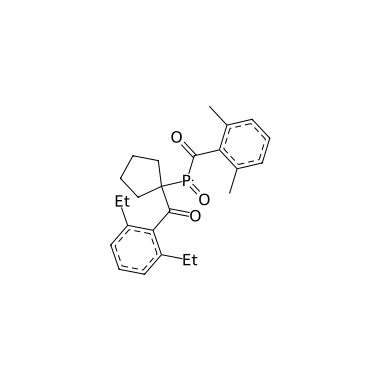 CCc1cccc(CC)c1C(=O)C1([P](=O)C(=O)c2c(C)cccc2C)CCCC1